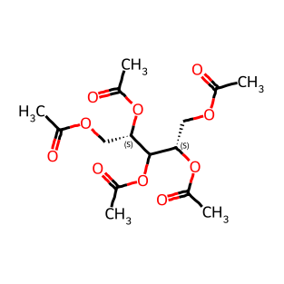 CC(=O)OC[C@H](OC(C)=O)C(OC(C)=O)[C@H](COC(C)=O)OC(C)=O